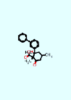 CC1CC(=O)C(C)(C(=O)O)C(C)(c2cccc(-c3ccccc3)c2)C1